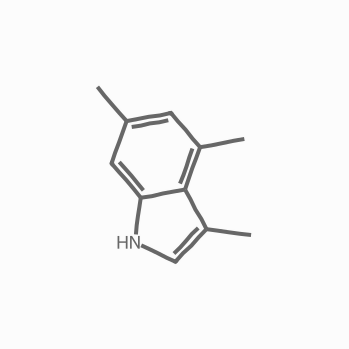 Cc1cc(C)c2c(C)c[nH]c2c1